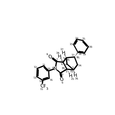 O=C1[C@@H]2[C@H]3C[C@@H]([C@@H]2C(=O)N1c1cccc(C(F)(F)F)c1)[C@H](c1ccccc1)C3